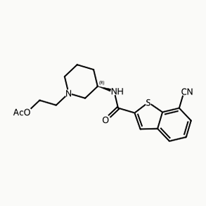 CC(=O)OCCN1CCC[C@@H](NC(=O)c2cc3cccc(C#N)c3s2)C1